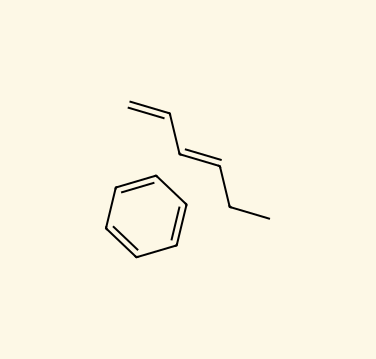 C=CC=CCC.c1ccccc1